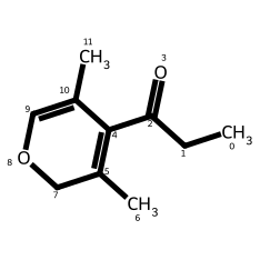 CCC(=O)C1=C(C)COC=C1C